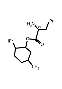 CC(C)C[C@H](N)C(=O)OC1CC(C)CCC1C(C)C